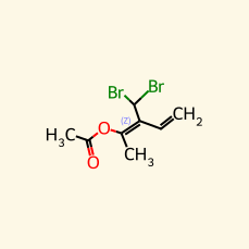 C=C/C(=C(\C)OC(C)=O)C(Br)Br